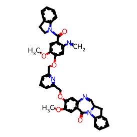 C=Nc1cc(OCc2cccc(COc3cc4c(cc3OC)C(=O)N3c5ccccc5CC3C=N4)n2)c(OC)cc1C(=O)N1CCc2ccccc21